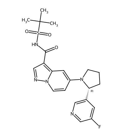 CC(C)(C)S(=O)(=O)NC(=O)c1cnn2ccc(N3CCC[C@@H]3c3cncc(F)c3)cc12